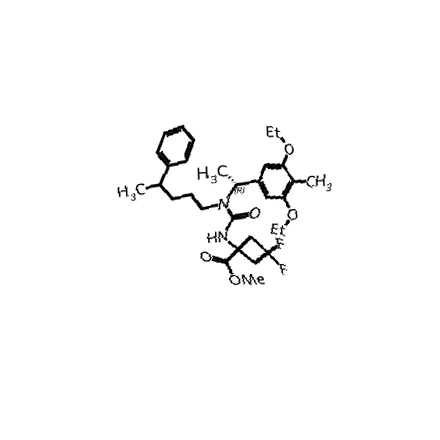 CCOc1cc([C@@H](C)N(CCCC(C)c2ccccc2)C(=O)NC2(C(=O)OC)CC(F)(F)C2)cc(OCC)c1C